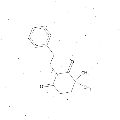 CC1(C)CCC(=O)N(CCc2ccccc2)C1=O